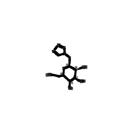 OC[C@H]1O[C@@H](Sn2cnnn2)[C@H](O)[C@@H](O)[C@H]1O